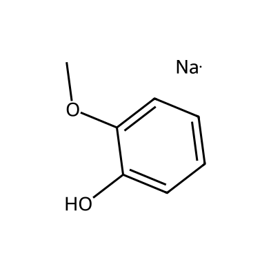 COc1ccccc1O.[Na]